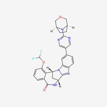 O=C1N[C@@H]2C[C@H](c3c(OC(F)F)cccc31)n1c2nc2ccc(-c3cnc(N4[C@@H]5CC[C@H]4COC5)nc3)cc21